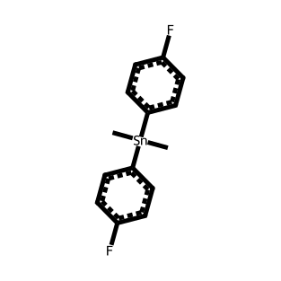 [CH3][Sn]([CH3])([c]1ccc(F)cc1)[c]1ccc(F)cc1